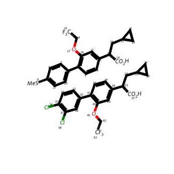 CSc1ccc(-c2ccc(C(CC3CC3)C(=O)O)cc2OCC(F)(F)F)cc1.O=C(O)C(CC1CC1)c1ccc(-c2ccc(Cl)c(Cl)c2)c(OCC(F)(F)F)c1